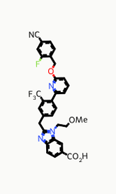 COCCn1c(Cc2ccc(-c3cccc(OCc4ccc(C#N)cc4F)n3)c(C(F)(F)F)c2)nc2ccc(C(=O)O)cc21